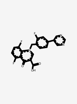 O=C(O)c1cn(Cc2ccc(-c3cncnc3)cc2F)c2c(F)ccc(F)c2c1=O